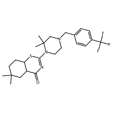 CC1(C)CCC2SC(N3CCN(Cc4ccc(C(F)(F)F)cc4)CC3(C)C)=NC(=O)C2C1